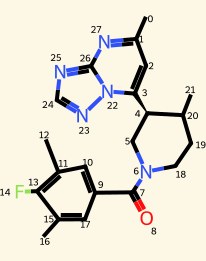 Cc1cc([C@@H]2CN(C(=O)c3cc(C)c(F)c(C)c3)CCC2C)n2ncnc2n1